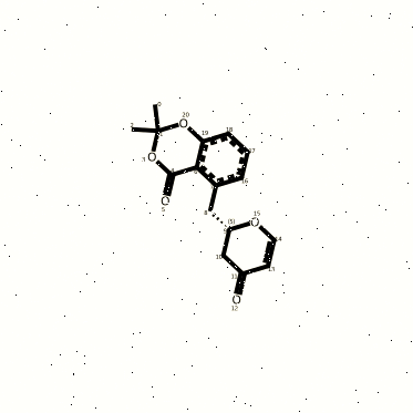 CC1(C)OC(=O)c2c(C[C@H]3CC(=O)C=CO3)cccc2O1